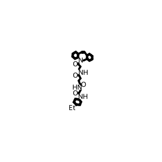 CCc1ccc(NC(=O)CNC(=O)CCC(=O)NCCC(=O)N2Cc3ccccc3C#Cc3ccccc32)cc1